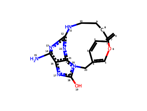 C=C/C=C\C1=C/OCCCCNc2nc(N)c3nc(O)n(c3n2)C1